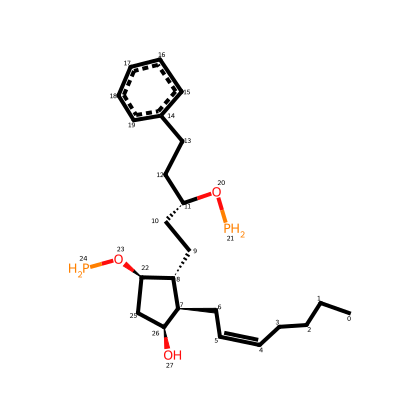 CCCC/C=C\C[C@@H]1[C@@H](CC[C@H](CCc2ccccc2)OP)[C@H](OP)C[C@@H]1O